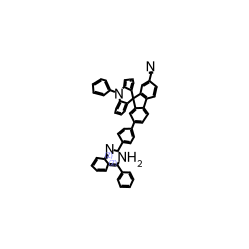 N#Cc1ccc2c(c1)C1(c3cc(-c4ccc(C/N=C5/C=CC=C/C5=C(/N)c5ccccc5)cc4)ccc3-2)c2ccccc2N(c2ccccc2)c2ccccc21